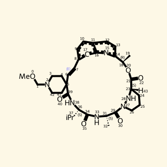 COCN1CCC2(/C=C/c3ccc4ccc(nc4c3)[C@@H](C)OC(=O)[C@@H]3CCCN(N3)C(=O)[C@H](C)NC(=O)[C@H](C(C)C)NC2=O)CC1